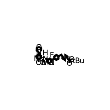 COc1ncc(N2CCOCC2)cc1[S+]([O-])Nc1ccnc(-c2ccc(CN3CCN(C(=O)OC(C)(C)C)CC3)cc2F)c1